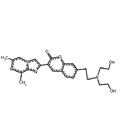 Cc1cn2cc(-c3cc4ccc(CCN(CCO)CCO)cc4oc3=O)nc2c(C)n1